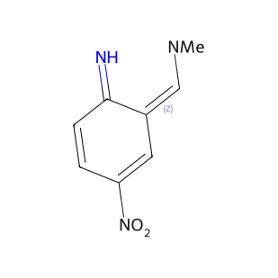 CN/C=C1/C=C([N+](=O)[O-])C=CC1=N